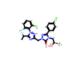 CC(F)c1nc(Cn2nc(-c3ccc(Cl)cc3)n(C[C@H](O)C(F)(F)F)c2=O)nn1-c1c(F)cccc1Cl